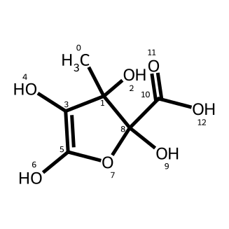 CC1(O)C(O)=C(O)OC1(O)C(=O)O